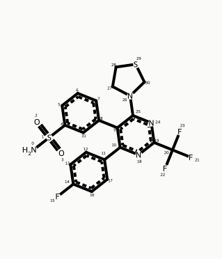 NS(=O)(=O)c1cccc(-c2c(-c3ccc(F)cc3)nc(C(F)(F)F)nc2N2CCSC2)c1